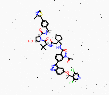 CC(=O)Nc1cc(-c2n[nH]c3ccc(O[C@H](C)c4c(Cl)cncc4Cl)cc23)ccc1C(=O)NCC1(CC(=O)N[C@H](C(=O)N2C[C@H](O)C[C@H]2C(=O)N[C@@H](C)c2ccc(-c3scnc3C)cc2)C(C)(C)C)CCCC1